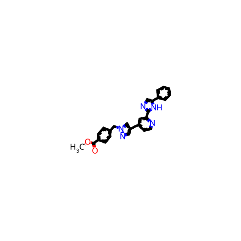 COC(=O)c1ccc(Cn2cc(-c3ccnc(-c4ncc(-c5ccccc5)[nH]4)c3)cn2)cc1